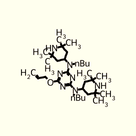 C=CCOc1nc(N(CCCC)C2CC(C)(C)NC(C)(C)C2)nc(N(CCCC)C2CC(C)(C)NC(C)(C)C2)n1